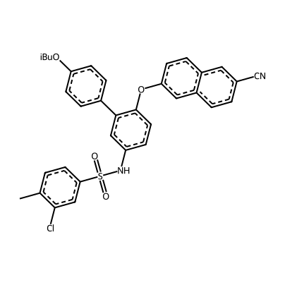 Cc1ccc(S(=O)(=O)Nc2ccc(Oc3ccc4cc(C#N)ccc4c3)c(-c3ccc(OCC(C)C)cc3)c2)cc1Cl